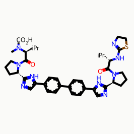 CC(C)[C@H](NC1=NCCS1)C(=O)N1CCC[C@H]1c1ncc(-c2ccc(-c3ccc(-c4cnc([C@@H]5CCCN5C(=O)[C@H](C(C)C)N(C)C(=O)O)[nH]4)cc3)cc2)[nH]1